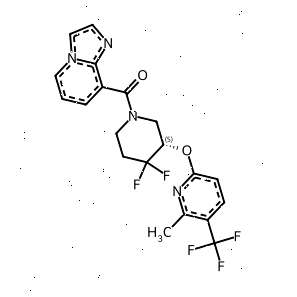 Cc1nc(O[C@H]2CN(C(=O)c3cccn4ccnc34)CCC2(F)F)ccc1C(F)(F)F